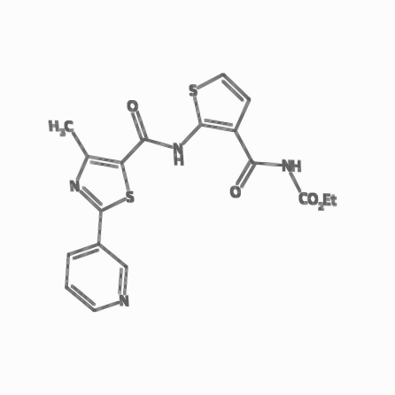 CCOC(=O)NC(=O)c1ccsc1NC(=O)c1sc(-c2cccnc2)nc1C